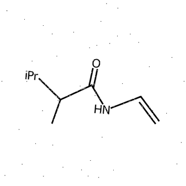 C=CNC(=O)C(C)C(C)C